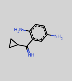 N=C(c1cc(N)ccc1N)C1CC1